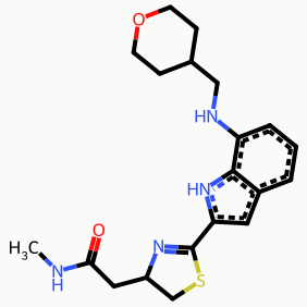 CNC(=O)CC1CSC(c2cc3cccc(NCC4CCOCC4)c3[nH]2)=N1